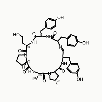 CC(C)[C@@H]1NC(=O)[C@@H]2CCCN2C(=O)[C@@H](CCO)NC(=O)C(Cc2ccc(O)cc2)NC(=O)C(Cc2ccc(O)cc2)N=CC(Cc2ccc(O)cc2)NC(=O)C2C[C@H](C)CN2C1=O